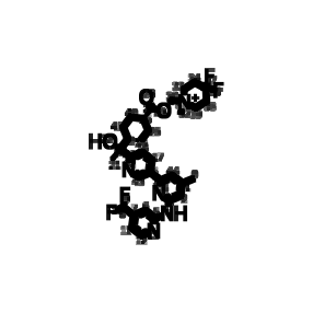 Cc1cc(Nc2cc(C(F)F)ccn2)nc(-c2ccc([C@](C)(O)[C@H]3CC[C@H](C(=O)OC[N+]4(C)CCC(F)(F)CC4)CC3)nc2)c1